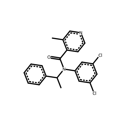 Cc1cnccc1C(=O)N(c1cc(Cl)cc(Cl)c1)C(C)c1ccccc1